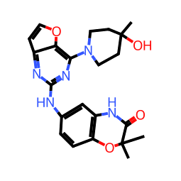 CC1(O)CCN(c2nc(Nc3ccc4c(c3)NC(=O)C(C)(C)O4)nc3ccoc23)CC1